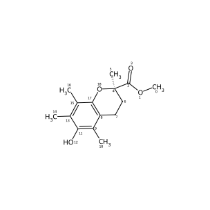 COC(=O)[C@@]1(C)CCc2c(C)c(O)c(C)c(C)c2O1